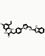 CCc1cc(F)cc(C)c1NC(Cc1ccc(-n2ccc(CNc3nc4ccccc4[nH]3)n2)cc1)C(=O)O